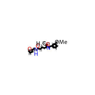 COc1cccc(-c2nc(CCCC(=O)NCC3CCCO3)c(C)o2)c1